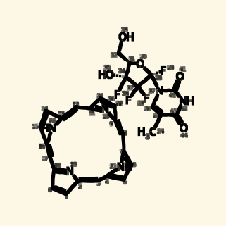 C1=Cc2cc3ccc(cc4nc(cc5ccc(cc1n2)[nH]5)C=C4)[nH]3.Cc1cn([C@]2(F)O[C@H](CO)[C@](O)(F)C2(F)F)c(=O)[nH]c1=O